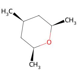 C[C@H]1C[C@@H](C)O[C@@H](C)C1